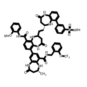 CNS(=O)(=O)c1cccc(-c2cccc3c2N[C@H](CCC2CC(=O)Nc4c(-c5cc6c(c(C(=O)NCc7ccccc7OC(F)(F)F)c5)N[C@H](C)CC(=O)N6)ccc(C(=O)Nc5ccccc5OC)c4N2)CC(=O)N3)c1